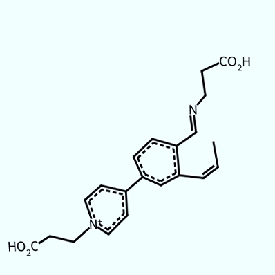 C/C=C\c1cc(-c2cc[n+](CCC(=O)O)cc2)ccc1/C=N/CCC(=O)O